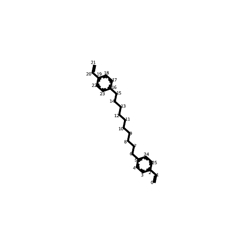 C=Cc1ccc(CCCCCCCCCCc2ccc(C=C)cc2)cc1